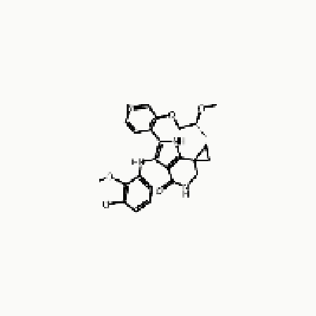 COc1c(Cl)cccc1Nc1c(-c2ccncc2OC[C@@H](C)OC)[nH]c2c1C(=O)NCC21CC1